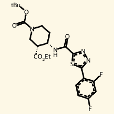 CCOC(=O)[C@@H]1CN(C(=O)OC(C)(C)C)CC[C@@H]1NC(=O)c1nnc(-c2ccc(F)cc2F)s1